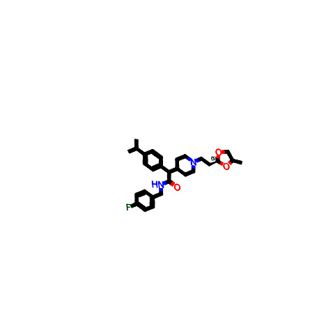 CC1CO[C@H](CCN2CCC(C(C(=O)NCc3ccc(F)cc3)c3ccc(C(C)C)cc3)CC2)O1